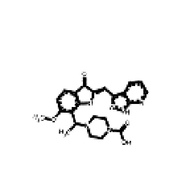 COc1ccc2c(c1C(C)N1CCN(C(=O)O)CC1)O/C(=C\c1n[nH]c3ncccc13)C2=O